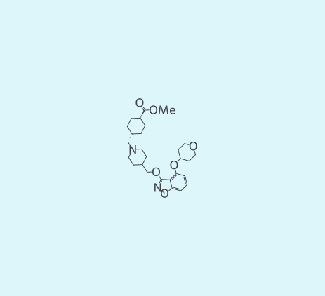 COC(=O)[C@H]1CC[C@H](CN2CCC(COc3noc4cccc(OC5CCOCC5)c34)CC2)CC1